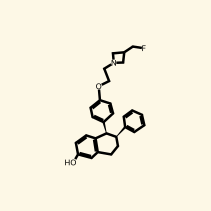 Oc1ccc2c(c1)CC[C@H](c1ccccc1)[C@@H]2c1ccc(OCCN2CC(CF)C2)cc1